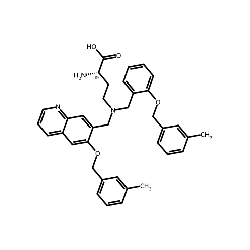 Cc1cccc(COc2ccccc2CN(CC[C@H](N)C(=O)O)Cc2cc3ncccc3cc2OCc2cccc(C)c2)c1